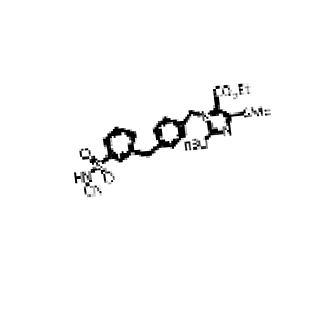 CCCCc1nc(SC)c(C(=O)OCC)n1Cc1ccc(Cc2cccc(S(=O)(=O)NC#N)c2)cc1